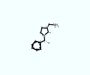 C[C@H](c1ccccc1)N1CC[C@@H](CN)C1